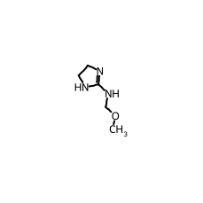 COCNC1=NCCN1